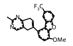 COc1ccc(C2=CCc3nc(C)ncc3C2)c2c1oc1ccc(C(F)(F)F)cc12